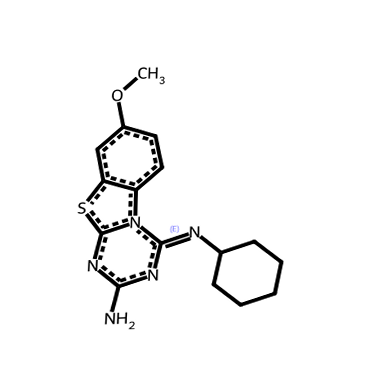 COc1ccc2c(c1)sc1nc(N)n/c(=N\C3CCCCC3)n12